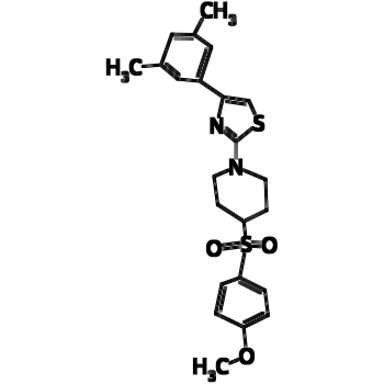 COc1ccc(S(=O)(=O)C2CCN(c3nc(-c4cc(C)cc(C)c4)cs3)CC2)cc1